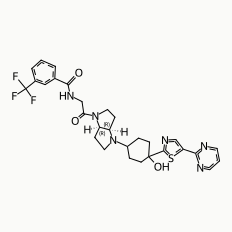 O=C(NCC(=O)N1CC[C@@H]2[C@H]1CCN2C1CCC(O)(c2ncc(-c3ncccn3)s2)CC1)c1cccc(C(F)(F)F)c1